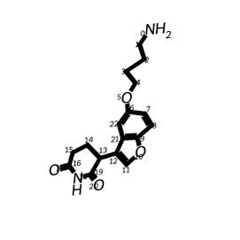 NCCCCOc1ccc2occ(C3CCC(=O)NC3=O)c2c1